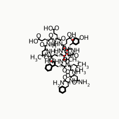 CC(C)C[C@H](NC(=O)[C@H](Cc1c[nH]c2ccccc12)NC(=O)CNC(=O)[C@H](Cc1ccc(O)cc1)NC(=O)[C@H](C)NC(=O)[C@H](CCC(=O)O)NC(=O)[C@H](CCC(=O)O)NC(=O)[C@H](CCC(=O)O)NC(=O)[C@H](CCC(=O)O)NC(=O)[C@@H](N)CC(C)C)C(=O)N[C@@H](CC(N)=O)C(=O)N[C@@H](Cc1ccccc1)C(N)=O